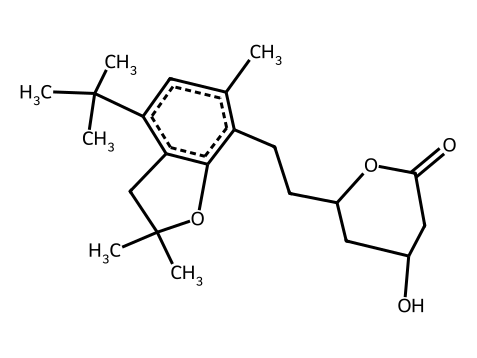 Cc1cc(C(C)(C)C)c2c(c1CCC1CC(O)CC(=O)O1)OC(C)(C)C2